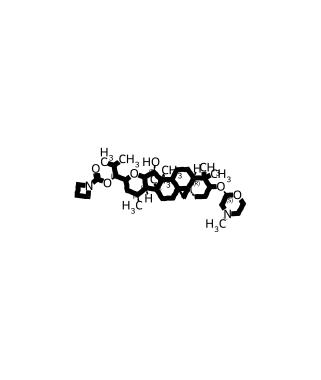 CC(C)[C@@H](OC(=O)N1CCC1)C1C[C@@H](C)[C@H]2C(O1)[C@H](O)[C@@]1(C)C3CC[C@H]4C(C)(C)C(O[C@H]5CN(C)CCO5)CC[C@@]45C[C@@]35CC[C@]21C